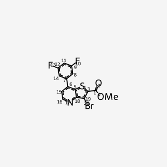 COC(=O)c1sc2c(-c3cc(F)cc(F)c3)ccnc2c1Br